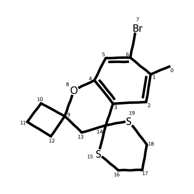 Cc1cc2c(cc1Br)OC1(CCC1)CC21SCCCS1